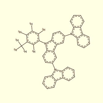 [2H]c1c([2H])c(-n2c3ccc(-n4c5ccccc5c5ccccc54)cc3c3cc(-n4c5ccccc5c5ccccc54)ccc32)c([2H])c(C([2H])([2H])[2H])c1[2H]